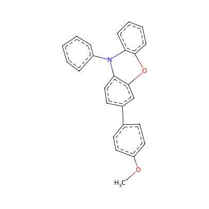 COc1ccc(-c2ccc3c(c2)Oc2ccccc2N3c2ccccc2)cc1